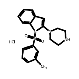 Cl.O=S(=O)(c1cccc(C(F)(F)F)c1)n1c(N2CCNCC2)cc2ccccc21